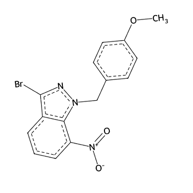 COc1ccc(Cn2nc(Br)c3cccc([N+](=O)[O-])c32)cc1